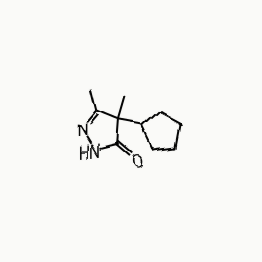 CC1=NNC(=O)C1(C)C1CCCC1